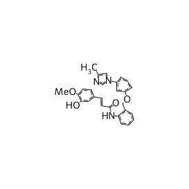 COc1ccc(C=CC(=O)Nc2ccccc2COc2cccc(-n3cnc(C)c3)c2)cc1O